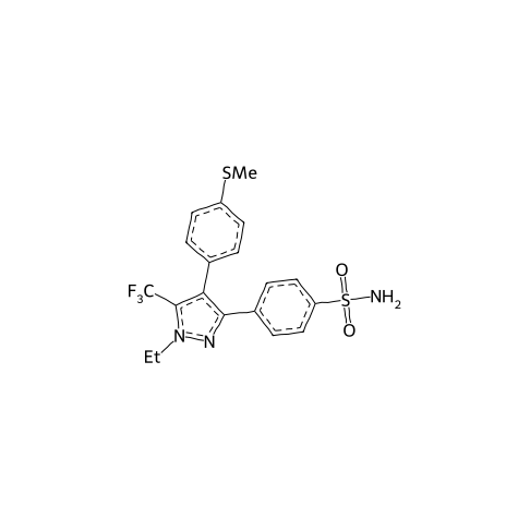 CCn1nc(-c2ccc(S(N)(=O)=O)cc2)c(-c2ccc(SC)cc2)c1C(F)(F)F